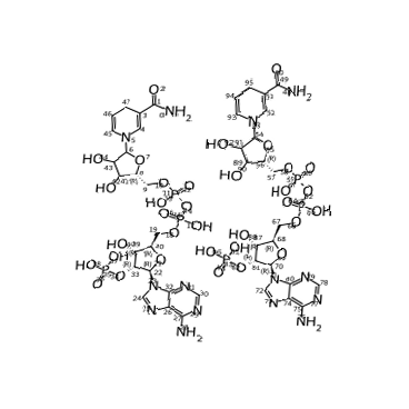 NC(=O)C1=CN(C2O[C@H](COP(=O)(O)OP(=O)(O)OC[C@H]3O[C@@H](n4cnc5c(N)ncnc54)[C@H](OP(=O)(O)O)[C@@H]3O)C(O)C2O)C=CC1.NC(=O)C1=CN(C2O[C@H](COP(=O)(O)OP(=O)(O)OC[C@H]3O[C@@H](n4cnc5c(N)ncnc54)[C@H](OP(=O)(O)O)[C@@H]3O)C(O)C2O)C=CC1